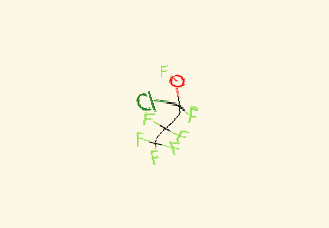 FOC(F)(Cl)C(F)(F)C(F)(F)F